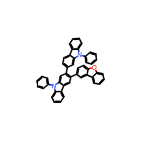 c1ccc(-n2c3ccccc3c3ccc(-c4cc5c(cc4-c4ccc6oc7ccccc7c6c4)c4ccccc4n5-c4ccccc4)cc32)cc1